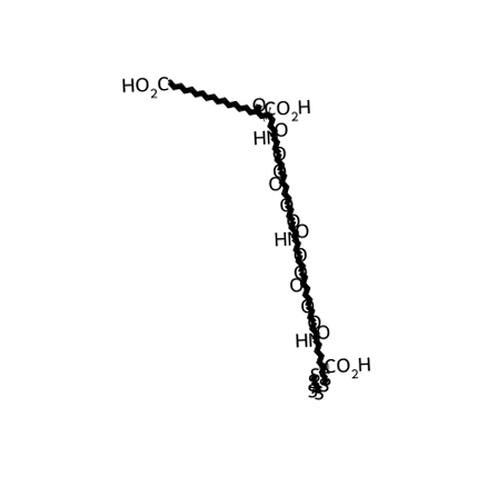 O=C(O)CCCCCCCCCCCCCCCCC(=O)C[C@@H](CCC(=O)NCCOCCOCC(=O)CCCOCCOCC(=O)NCCOCCOCC(=O)CCCOCCOCC(=O)NCCCC[C@@H](C(=O)O)C1SSC2(SS1)SS2)C(=O)O